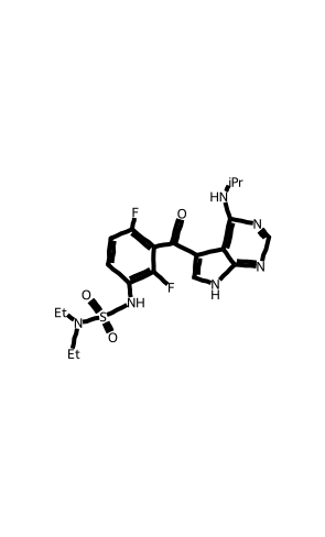 CCN(CC)S(=O)(=O)Nc1ccc(F)c(C(=O)c2c[nH]c3ncnc(NC(C)C)c23)c1F